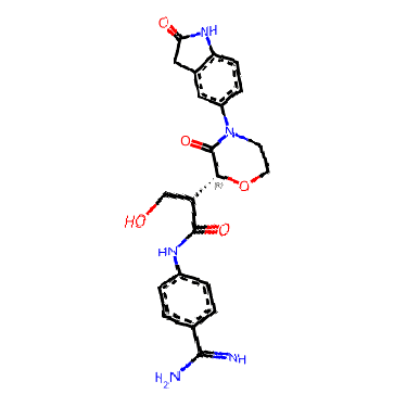 N=C(N)c1ccc(NC(=O)C(CO)[C@H]2OCCN(c3ccc4c(c3)CC(=O)N4)C2=O)cc1